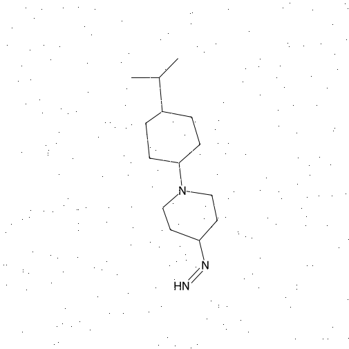 CC(C)C1CCC(N2CCC(N=N)CC2)CC1